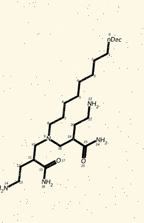 CCCCCCCCCCCCCCCCCCN(CC(CCN)C(N)=O)CC(CCN)C(N)=O